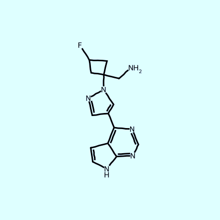 NCC1(n2cc(-c3ncnc4[nH]ccc34)cn2)CC(F)C1